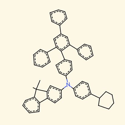 CC1(C)c2ccccc2-c2ccc(N(c3ccc(-c4c(-c5ccccc5)cc(-c5ccccc5)cc4-c4ccccc4)cc3)c3ccc(C4CCCCC4)cc3)cc21